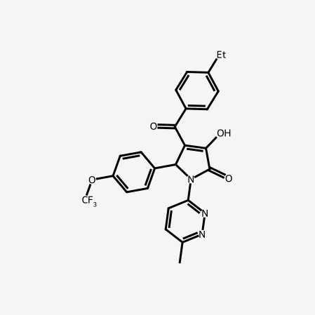 CCc1ccc(C(=O)C2=C(O)C(=O)N(c3ccc(C)nn3)C2c2ccc(OC(F)(F)F)cc2)cc1